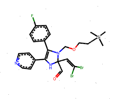 C[Si](C)(C)CCOCN1C(c2ccc(F)cc2)=C(c2ccncc2)NC1(C=O)C=C(Br)Br